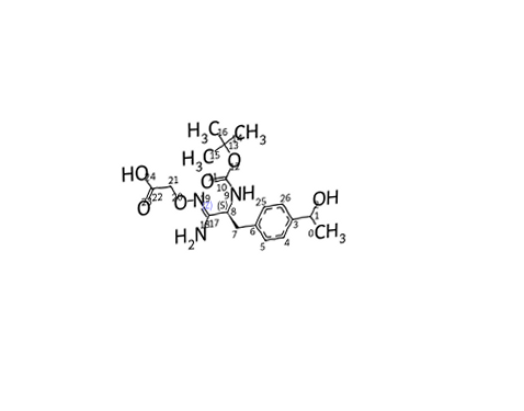 CC(O)c1ccc(C[C@H](NC(=O)OC(C)(C)C)/C(N)=N/OCC(=O)O)cc1